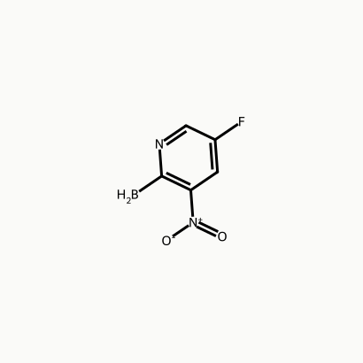 Bc1ncc(F)cc1[N+](=O)[O-]